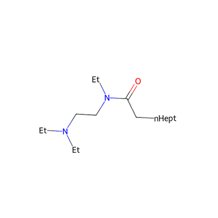 CCCCCCCCC(=O)N(CC)CCN(CC)CC